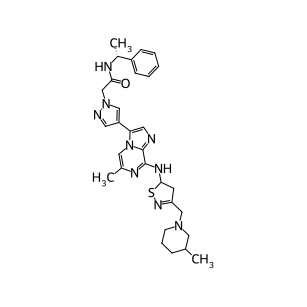 Cc1cn2c(-c3cnn(CC(=O)N[C@H](C)c4ccccc4)c3)cnc2c(NC2CC(CN3CCCC(C)C3)=NS2)n1